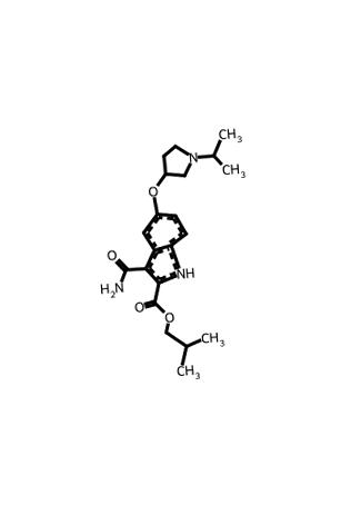 CC(C)COC(=O)c1[nH]c2ccc(OC3CCN(C(C)C)C3)cc2c1C(N)=O